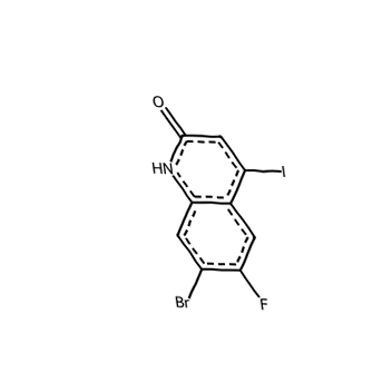 O=c1cc(I)c2cc(F)c(Br)cc2[nH]1